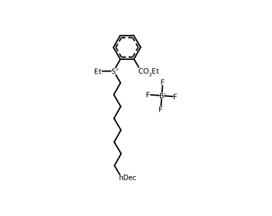 CCCCCCCCCCCCCCCCCC[S+](CC)c1ccccc1C(=O)OCC.F[B-](F)(F)F